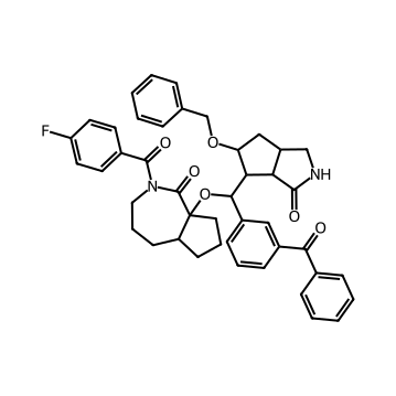 O=C(c1ccccc1)c1cccc(C(OC23CCCC2CCCN(C(=O)c2ccc(F)cc2)C3=O)C2C(OCc3ccccc3)CC3CNC(=O)C32)c1